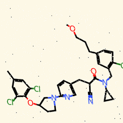 COCCCc1ccc(Cl)c(CN(C(=O)C(C#N)Cc2ccc(N3CCC(Oc4c(Cl)cc(C)cc4Cl)C3)nc2)C2CC2)c1